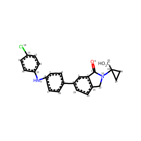 O=C1c2cc(-c3ccc(Nc4ccc(Cl)cc4)cc3)ccc2CN1C1(C(=O)O)CC1